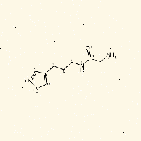 NCC(=O)NCCCc1cn[nH]c1